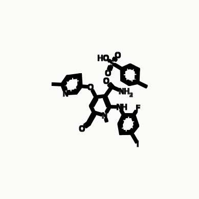 Cc1ccc(OC2=CC(=C=O)N(C)C(Nc3ccc(I)cc3F)=C2C(N)=O)cn1.Cc1ccc(S(=O)(=O)O)cc1